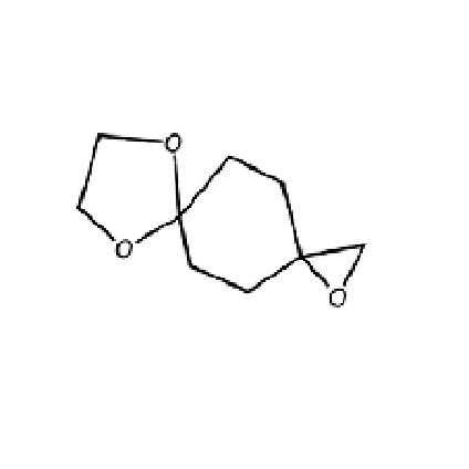 C1COC2(CCC3(CC2)CO3)O1